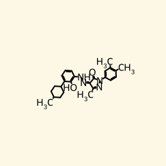 CC1=NN(c2ccc(C)c(C)c2)C(=O)/C1=N\Nc1cccc(C2CCC(C)CC2)c1O